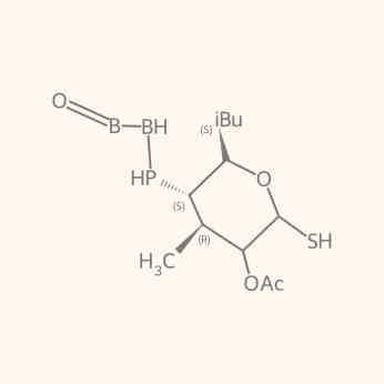 CC[C@H](C)C1OC(S)C(OC(C)=O)[C@@H](C)[C@@H]1PBB=O